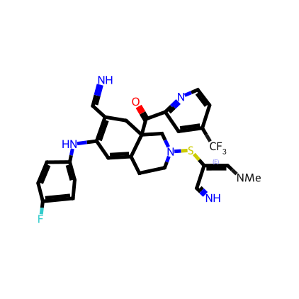 CN/C=C(\C=N)SN1CCC2=CC(Nc3ccc(F)cc3)=C(C=N)CC2(C(=O)c2cc(C(F)(F)F)ccn2)C1